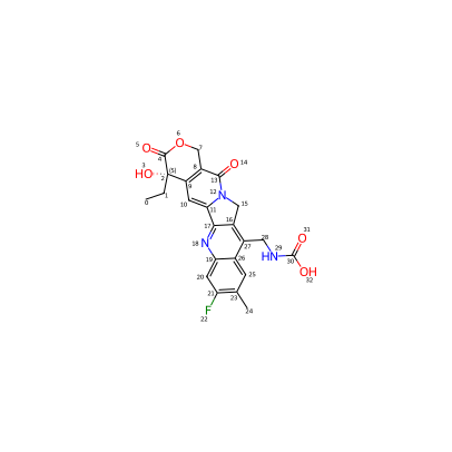 CC[C@@]1(O)C(=O)OCc2c1cc1n(c2=O)Cc2c-1nc1cc(F)c(C)cc1c2CNC(=O)O